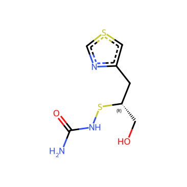 NC(=O)NS[C@@H](CO)Cc1cscn1